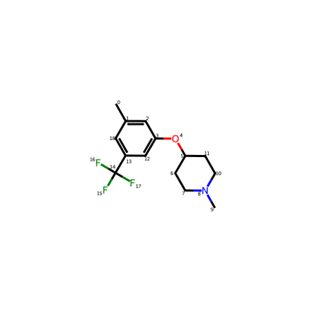 Cc1cc(OC2CCN(C)CC2)cc(C(F)(F)F)c1